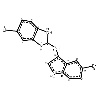 Clc1ccc2c(c1)NC(Nc1c[nH]c3ccc(Br)cc13)N2